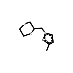 Cc1ccn(CC2COCCO2)n1